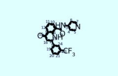 O=C(Nc1ccncc1)c1cccc2c(=O)cc(-c3cccc(C(F)(F)F)c3)[nH]c12